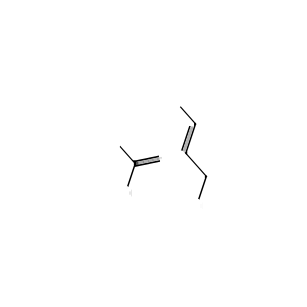 CC(=O)O.CC=CCO